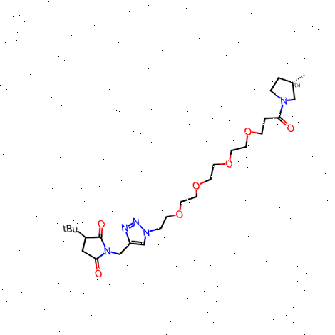 C[C@H]1CCN(C(=O)CCOCCOCCOCCOCCn2cc(CN3C(=O)CC(C(C)(C)C)C3=O)nn2)C1